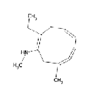 CC/C1=C(\NC)CC(C)=C=C/C=C\C1